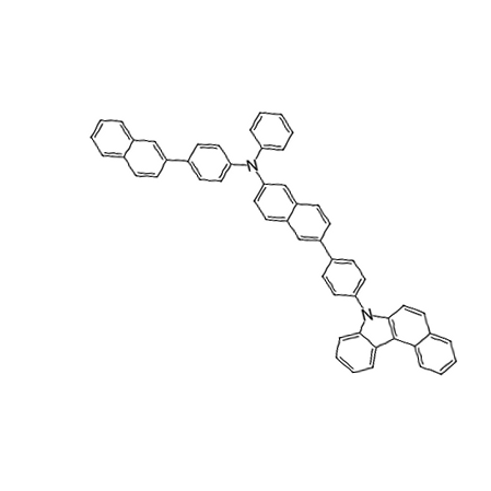 c1ccc(N(c2ccc(-c3ccc4ccccc4c3)cc2)c2ccc3cc(-c4ccc(-n5c6ccccc6c6c7ccccc7ccc65)cc4)ccc3c2)cc1